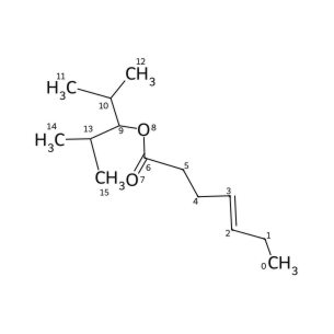 CC/C=C/CCC(=O)OC(C(C)C)C(C)C